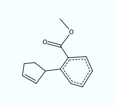 COC(=O)c1ccccc1C1C=CCC1